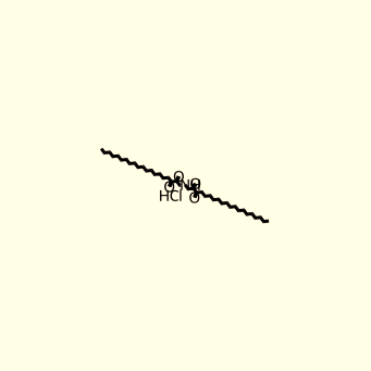 CCCCCCCCCCCCCCCCCC(=O)C(=O)CNCC(=O)C(=O)CCCCCCCCCCCCCCCCC.Cl